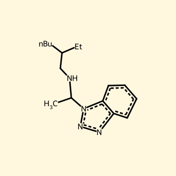 CCCCC(CC)CNC(C)n1nnc2ccccc21